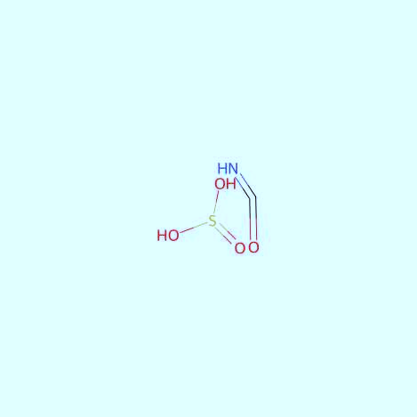 N=C=O.O=S(O)O